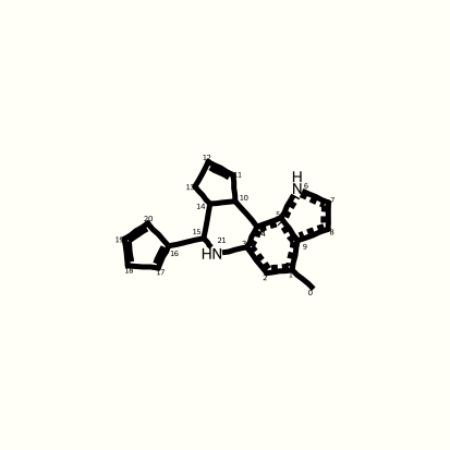 Cc1cc2c(c3[nH]ccc13)C1C=CCC1C(C1=CC=C=C1)N2